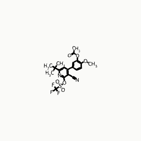 COc1ccc(-c2cc(C(C)(C)C)nc(OS(=O)(=O)C(F)(F)F)c2C#N)cc1OC(C)=O